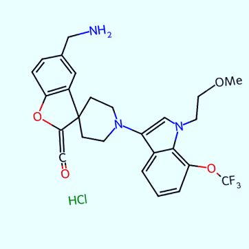 COCCn1cc(N2CCC3(CC2)C(=C=O)Oc2ccc(CN)cc23)c2cccc(OC(F)(F)F)c21.Cl